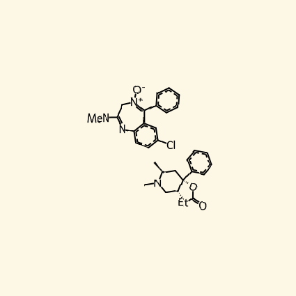 CCC(=O)O[C@@]1(c2ccccc2)C[C@H](C)N(C)C[C@H]1C.CNC1=Nc2ccc(Cl)cc2C(c2ccccc2)=[N+]([O-])C1